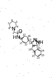 O=C(CN1CCCCC1)Nc1ccc(-c2n[nH]c3c2Cc2ccccc2-3)cc1